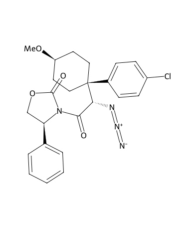 CO[C@H]1CC[C@](c2ccc(Cl)cc2)([C@H](N=[N+]=[N-])C(=O)N2C(=O)OC[C@@H]2c2ccccc2)CC1